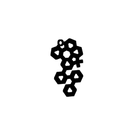 CC1(C)c2cc(-c3ccccc3-c3ccccc3-c3ccccc3)cc3c2-c2c1ccc1ccc4oc5cccc-3c5c4c21